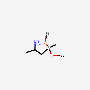 CCO[Si](C)(CC(C)N)OCC